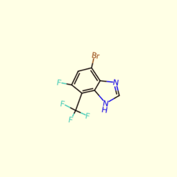 Fc1cc(Br)c2nc[nH]c2c1C(F)(F)F